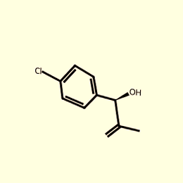 C=C(C)[C@H](O)c1ccc(Cl)cc1